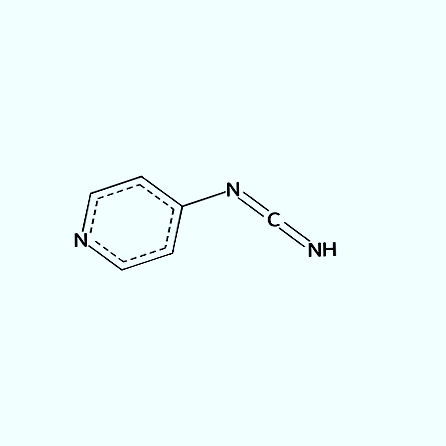 N=C=Nc1ccncc1